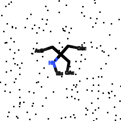 CC(=O)OCC(COC(C)=O)(COC(C)=O)NC(C)(C)C